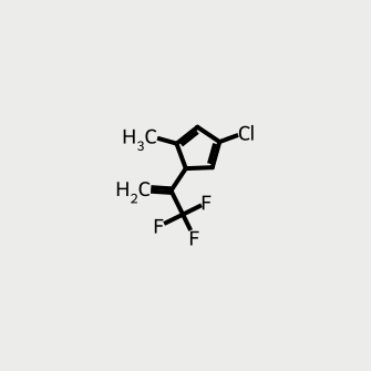 C=C(C1C=C(Cl)C=C1C)C(F)(F)F